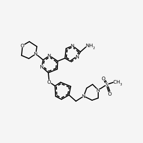 CS(=O)(=O)N1CCN(Cc2ccc(Oc3cc(-c4cnc(N)nc4)nc(N4CCOCC4)n3)cc2)CC1